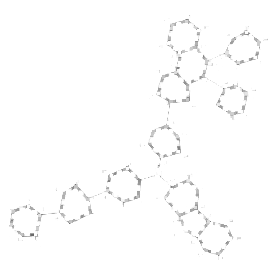 c1ccc(-c2ccc(-c3ccc(N(c4ccc(-c5ccc6c(c5)c(-c5ccccc5)c(-c5ccccc5)c5ccccc56)cc4)c4ccc5c(c4)sc4ccccc45)cc3)cc2)cc1